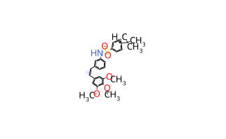 COc1cc(/C=C\c2cccc(NS(=O)(=O)c3ccc(C(C)(C)C)cc3)c2)cc(OC)c1OC